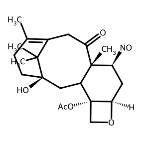 CC(=O)O[C@@]12CO[C@@H]1C[C@H](N=O)[C@@]1(C)C(=O)CC3=C(C)CC[C@@](O)(CC12)C3(C)C